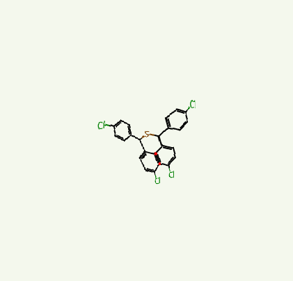 Clc1ccc(C(SC(c2ccc(Cl)cc2)c2ccc(Cl)cc2)c2ccc(Cl)cc2)cc1